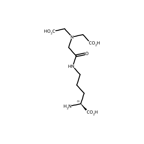 N[C@@H](CCCNC(=O)CN(CC(=O)O)CC(=O)O)C(=O)O